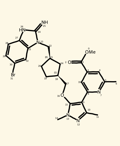 COC(=O)c1cc(C)nc(-c2c(C)nn(C)c2OC[C@H]2CC[C@@H](Cn3c(=N)[nH]c4ccc(Br)cc43)C2)c1